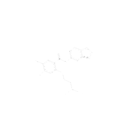 CN(C)CCSc1cc(N)c(N)cc1C(=O)Nc1ccc2cn[nH]c2c1